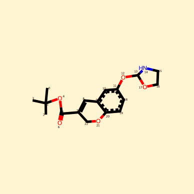 CC(C)(C)OC(=O)C1=Cc2cc(OC3NCCO3)ccc2OC1